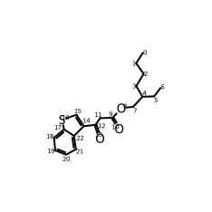 CCCCC(CC)COC(=O)CC(=O)c1csc2ccccc12